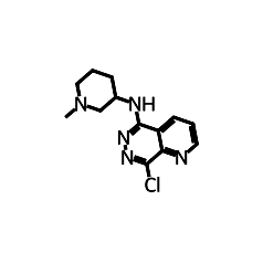 CN1CCCC(Nc2nnc(Cl)c3ncccc23)C1